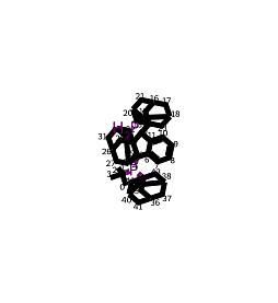 CC(C)(C)P(Cc1ccccc1C(P)(C12CC3CC(CC(C3)C1)C2)C12CC3CC(CC(C3)C1)C2)C12CC3CC(CC(C3)C1)C2